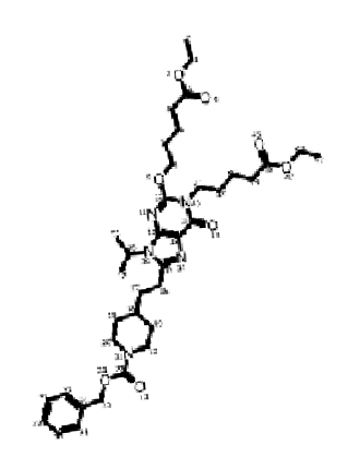 CCOC(=O)CCCCOc1nc2c(nc(CCC3CCN(C(=O)OCc4ccccc4)CC3)n2C(C)C)c(=O)n1CCCCC(=O)OCC